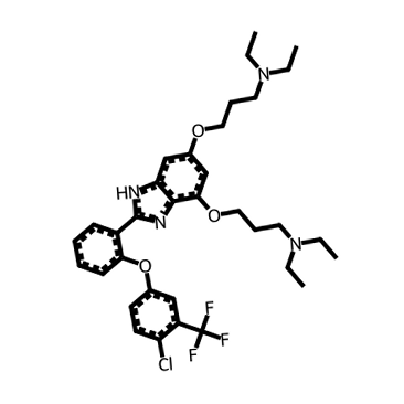 CCN(CC)CCCOc1cc(OCCCN(CC)CC)c2nc(-c3ccccc3Oc3ccc(Cl)c(C(F)(F)F)c3)[nH]c2c1